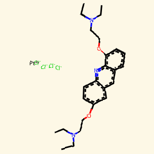 CCN(CC)CCOc1ccc2nc3c(OCCN(CC)CC)cccc3cc2c1.[Cl-].[Cl-].[Cl-].[Cl-].[Pt+4]